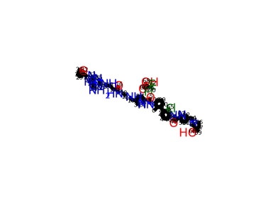 Cc1c(NC(=O)c2ccc(CNCCNC(=O)CCCNc3nc(N)n4nc(-c5ccco5)nc4n3)cn2)cccc1-c1cccc(NC(=O)c2ccc(CN3CCC(C)(O)C3)cn2)c1Cl.O=C(O)C(F)(F)F